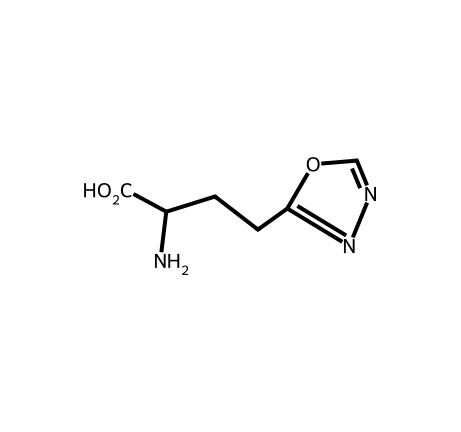 NC(CCc1nnco1)C(=O)O